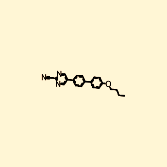 CCCCOc1ccc(-c2ccc(-c3cnc(C#N)nc3)cc2)cc1